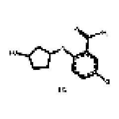 Cl.NC(=O)c1cc(Cl)ccc1OC1CCC(O)C1